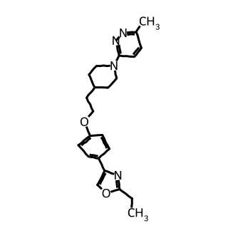 CCc1nc(-c2ccc(OCCC3CCN(c4ccc(C)nn4)CC3)cc2)co1